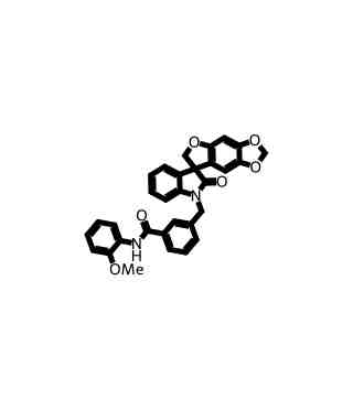 COc1ccccc1NC(=O)c1cccc(CN2C(=O)C3(COc4cc5c(cc43)OCO5)c3ccccc32)c1